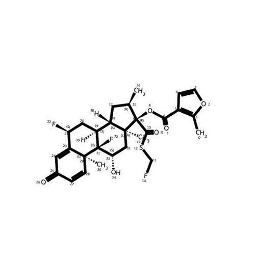 Cc1occc1C(=O)O[C@]1(C(=O)SCF)[C@H](C)C[C@H]2[C@@H]3C[C@H](F)C4=CC(=O)C=C[C@]4(C)[C@@]3(F)[C@@H](O)C[C@@]21C